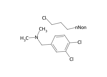 CCCCCCCCCCCCCl.CN(C)Cc1ccc(Cl)c(Cl)c1